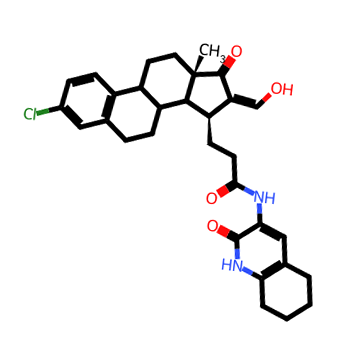 C[C@]12CCC3c4ccc(Cl)cc4CCC3C1[C@H](CCC(=O)Nc1cc3c([nH]c1=O)CCCC3)/C(=C/O)C2=O